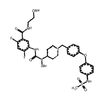 CCCCN(C(=O)Nc1cc(C(=O)NCCOC)c(F)cc1F)C1CCN(Cc2ccc(Oc3ccc(NS(C)(=O)=O)cc3)cc2)CC1